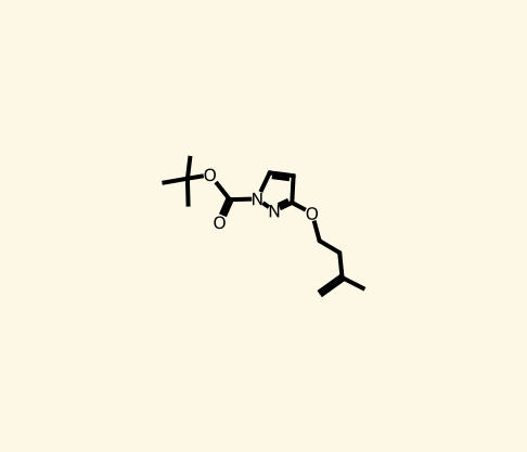 C=C(C)CCOc1ccn(C(=O)OC(C)(C)C)n1